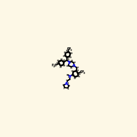 CN(CCN1CCCC1)c1ccc(C(F)(F)F)c(CN2CCN(C(c3ccc(C(F)(F)F)cc3)c3ccc(C(F)(F)F)cc3)CC2)c1